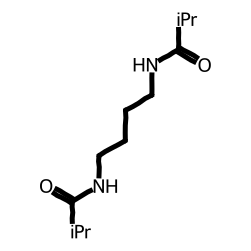 CC(C)C(=O)NCCCCNC(=O)C(C)C